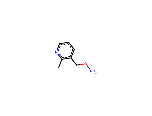 Cc1ncccc1CON